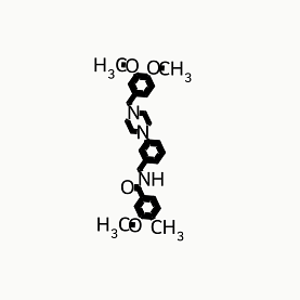 COc1cc(C(=O)NCc2cccc(N3CCN(Cc4ccc(OC)c(OC)c4)CC3)c2)ccc1C